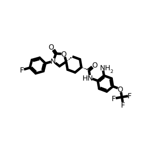 Nc1cc(OC(F)(F)F)ccc1NC(=O)[C@H]1CC[C@]2(CC1)CN(c1ccc(F)cc1)C(=O)O2